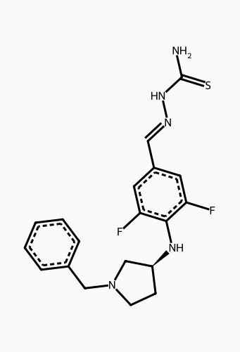 NC(=S)N/N=C/c1cc(F)c(N[C@H]2CCN(Cc3ccccc3)C2)c(F)c1